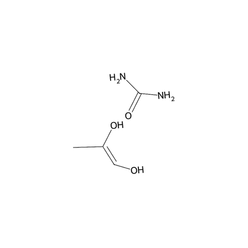 CC(O)=CO.NC(N)=O